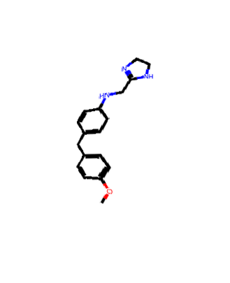 COc1ccc(CC2=CCC(NCC3=NCCN3)C=C2)cc1